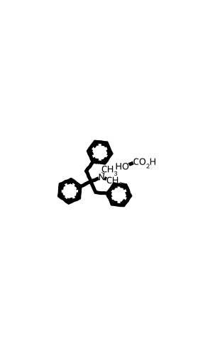 CN(C)C(Cc1ccccc1)(Cc1ccccc1)c1ccccc1.O=C(O)O